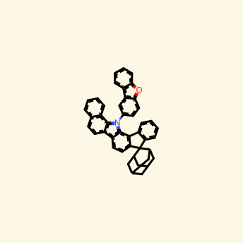 c1ccc2c(c1)-c1c(ccc3c4ccc5ccccc5c4n(-c4ccc5oc6ccccc6c5c4)c13)C21C2CC3CC(C2)CC1C3